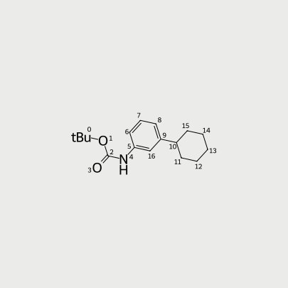 CC(C)(C)OC(=O)Nc1cccc(C2CCCCC2)c1